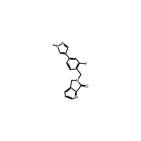 Cn1cc(-c2ccc(CN3Cc4cccnc4C3=O)c(F)c2)cn1